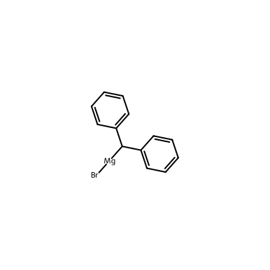 [Br][Mg][CH](c1ccccc1)c1ccccc1